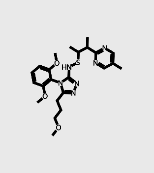 COCCCc1nnc(NSC(C)C(C)c2ncc(C)cn2)n1-c1c(OC)cccc1OC